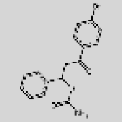 NC(=O)OC(CC(=O)c1ccc(Br)cc1)c1ccccc1